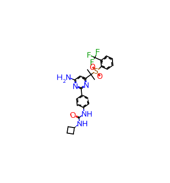 CC(C)(c1cc(N)nc(-c2ccc(NC(=O)NC3CCC3)cc2)n1)S(=O)(=O)c1ccccc1C(F)(F)F